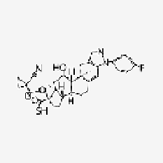 C[C@]12Cc3cnn(-c4ccc(F)cc4)c3C=C1CC[C@@H]1[C@@H]2[C@@H](O)C[C@@]2(C)[C@H]1CC[C@]2(OC(=O)C1(C#N)CC1)C(=O)S